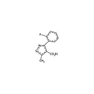 CCOC(=O)c1c(-c2ccccc2F)nsc1C